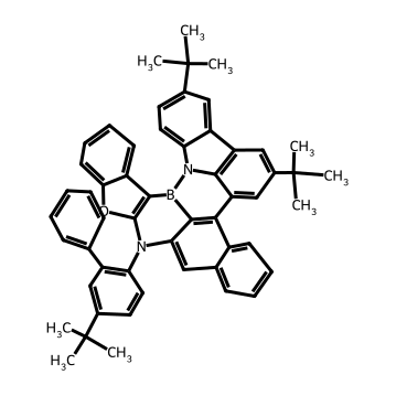 CC(C)(C)c1ccc(N2c3cc4ccccc4c4c3B(c3c2oc2ccccc32)n2c3ccc(C(C)(C)C)cc3c3cc(C(C)(C)C)cc-4c32)c(-c2ccccc2)c1